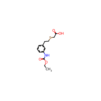 CCOC(=O)Nc1cccc(CCSCC(=O)O)c1